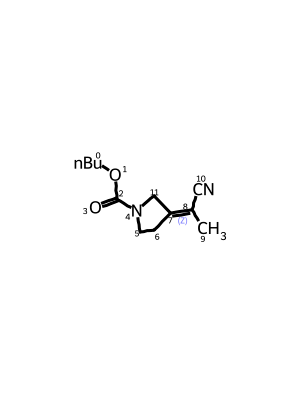 CCCCOC(=O)N1CC/C(=C(\C)C#N)C1